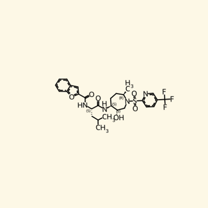 CC(C)C[C@H](NC(=O)c1cc2ccccc2o1)C(=O)N[C@H]1CC[C@@H](C)N(S(=O)(=O)c2ccc(C(F)(F)F)cn2)C[C@@H]1O